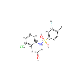 Cc1ccc(S(=O)(=O)N(CC=O)c2cccc(Cl)c2C)cc1F